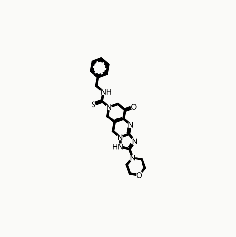 O=C1CN(C(=S)NCc2ccccc2)CC2=C1N=C1N=C(N3CCOCC3)NN1C2